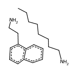 CCCCCCCCN.NCCc1cccc2ccccc12